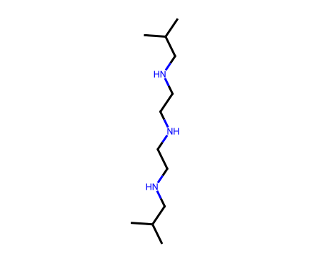 CC(C)CNCCNCCNCC(C)C